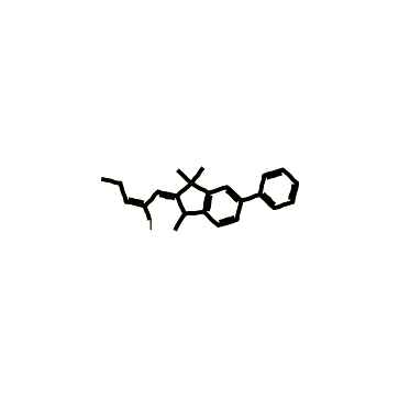 CC/C=C(I)\C=C1/C(C)c2ccc(-c3ccccc3)cc2C1(C)C